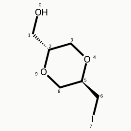 OC[C@@H]1CO[C@@H](CI)CO1